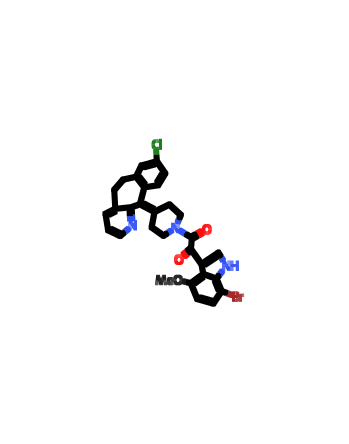 COc1ccc(Br)c2[nH]cc(C(=O)C(=O)N3CCC(=C4c5ccc(Cl)cc5CCc5cccnc54)CC3)c12